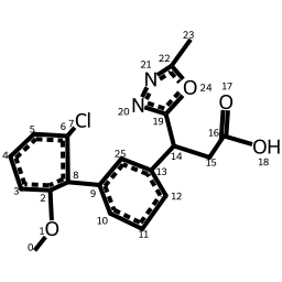 COc1cccc(Cl)c1-c1cccc(C(CC(=O)O)c2nnc(C)o2)c1